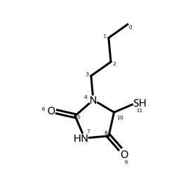 CCCCN1C(=O)NC(=O)C1S